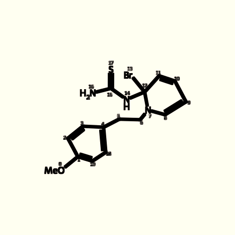 COc1ccc(CCN2C=CC=CC2(Br)NC(N)=S)cc1